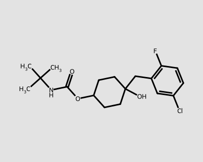 CC(C)(C)NC(=O)OC1CCC(O)(Cc2cc(Cl)ccc2F)CC1